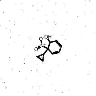 O=[N+]([O-])C1(C2CC2)C=CC=CC1O